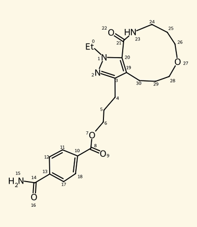 CCn1nc(CCCOC(=O)c2ccc(C(N)=O)cc2)c2c1C(=O)NCCCOCCC2